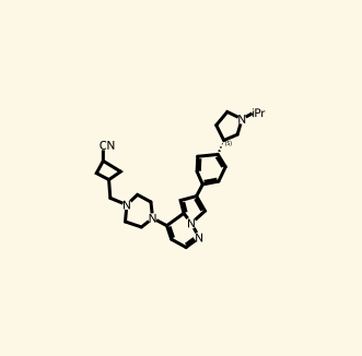 CC(C)N1CC[C@@H](c2ccc(-c3cc4c(N5CCN(CC6CC(C#N)C6)CC5)ccnn4c3)cc2)C1